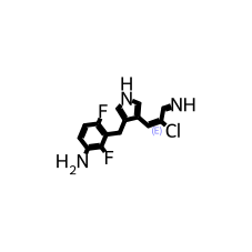 N=C/C(Cl)=C\c1c[nH]cc1Cc1c(F)ccc(N)c1F